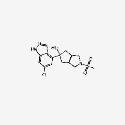 CS(=O)(=O)N1CC2CC(O)(c3cc(Cl)cc4[nH]ncc34)CC2C1